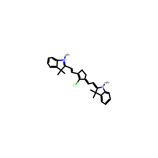 CCCN1/C(=C/C=C2\CCC(/C=C/C3=[N+](CCC)c4ccccc4C3(C)C)=C2Cl)C(C)(C)c2ccccc21